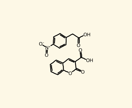 O=C(O)Cc1ccc([N+](=O)[O-])cc1.O=C(O)c1cc2ccccc2oc1=O